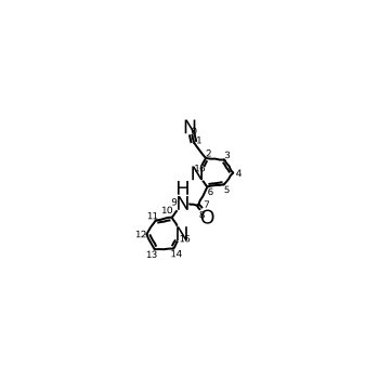 N#Cc1cccc(C(=O)Nc2ccccn2)n1